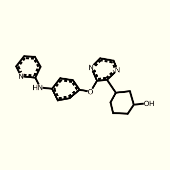 OC1CCCC(c2nccnc2Oc2ccc(Nc3ccccn3)cc2)C1